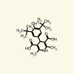 CC1=C(C(=O)O)C(c2cc(C(C)(C)C)c(O)c(C(C)(C)C)c2)C(C(=O)O)=C(C)N1